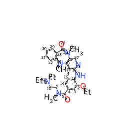 CCOc1cc(C(=O)N(C)CCN(CC)CC)ccc1Nc1cc2c(cn1)N(C)C(=O)c1ccccc1N2C